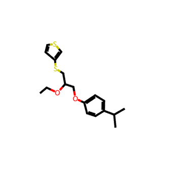 CCOC(COc1ccc(C(C)C)cc1)CSc1ccsc1